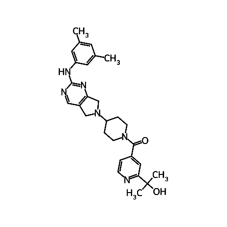 Cc1cc(C)cc(Nc2ncc3c(n2)CN(C2CCN(C(=O)c4ccnc(C(C)(C)O)c4)CC2)C3)c1